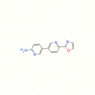 Nc1ccc(-c2ccc(-c3ncco3)nc2)cn1